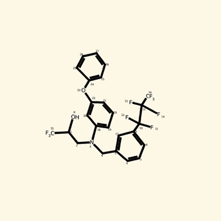 OC(CN(Cc1cccc(C(F)(F)C(F)(F)C(F)(F)F)c1)c1cccc(Oc2ccccc2)c1)C(F)(F)F